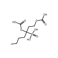 CCCCC(CCOC(=O)O)(OC(=O)O)P(=O)(O)O